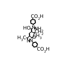 C=C(C)C(/C=C1\C(=O)N(c2ccc(C(=O)O)cc2)N=C1C)=C(/O)N(N)c1ccc(C(=O)O)cc1